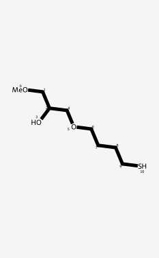 COCC(O)COCCCCS